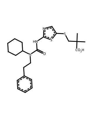 CC(C)(CSc1cnc(NC(=O)N(CCc2ccccc2)C2CCCCC2)s1)C(=O)O